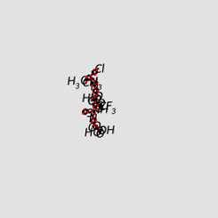 CC1(C)CCC(c2ccc(Cl)cc2)=C(CN2CCN(c3ccc(C(=O)NS(=O)(=O)c4ccc(NC(CCN5CCC(C(=O)OCCP(=O)(O)O)CC5)CSc5ccccc5)c(S(=O)(=O)C(F)(F)F)c4)cc3)CC2)C1